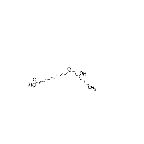 CCCCCC(O)CCC1OC1CCCCCCCCCC=CC(=O)O